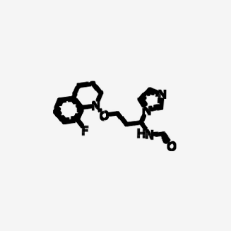 O=CNC(CCON1CCCc2cccc(F)c21)n1ccnc1